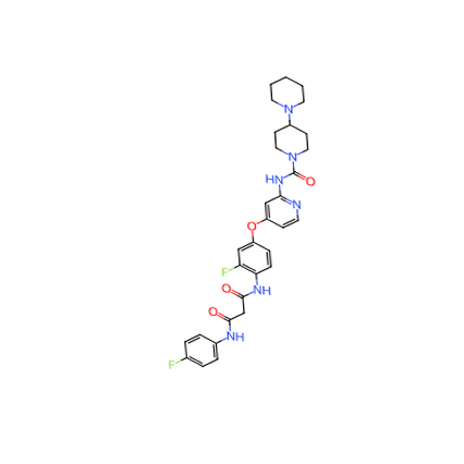 O=C(CC(=O)Nc1ccc(Oc2ccnc(NC(=O)N3CCC(N4CCCCC4)CC3)c2)cc1F)Nc1ccc(F)cc1